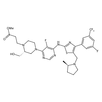 COC(=O)CCN1CCN(c2ncnc(Nc3nc(-c4cc(F)cc(C(F)(F)F)c4)c(CN4CCC[C@H]4C)s3)c2F)C[C@@H]1CO